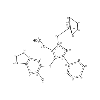 O=C(O)Oc1c(Cc2cc3c(cc2Cl)OCO3)c(-c2ccccc2)nn1CC1CC2CCC1CC2